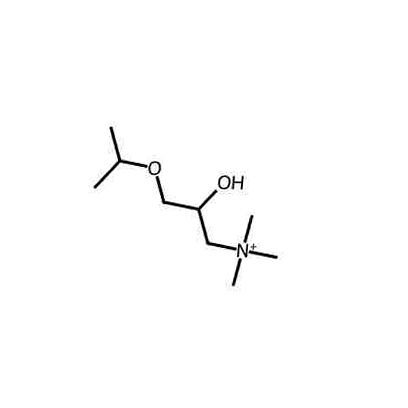 CC(C)OCC(O)C[N+](C)(C)C